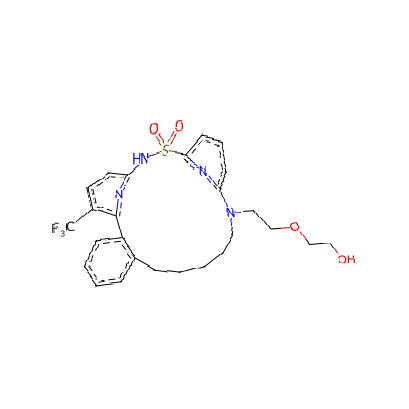 O=S1(=O)Nc2ccc(C(F)(F)F)c(n2)-c2ccccc2CCCCCN(CCOCCO)c2cccc1n2